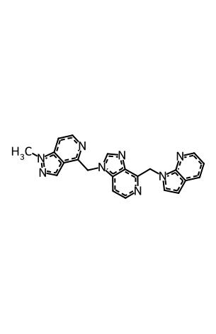 Cn1ncc2c(Cn3cnc4c(Cn5ccc6cccnc65)nccc43)nccc21